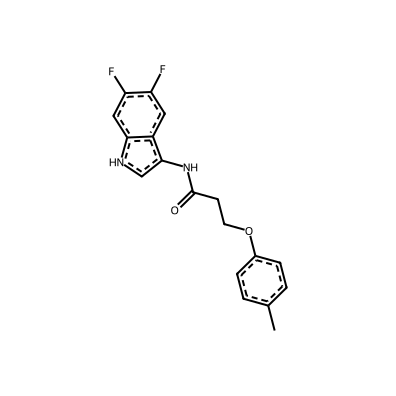 Cc1ccc(OCCC(=O)Nc2c[nH]c3cc(F)c(F)cc23)cc1